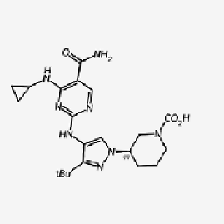 CC(C)(C)c1nn([C@@H]2CCCN(C(=O)O)C2)cc1Nc1ncc(C(N)=O)c(NC2CC2)n1